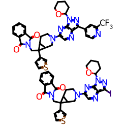 O=C1c2ccccc2C(=O)N1CC1(c2ccsc2)C2CCN(c3cnc4c(-c5ccnc(C(F)(F)F)c5)nn(C5CCCCO5)c4n3)CC21.O=C1c2ccccc2C(=O)N1CC1(c2ccsc2)C2CCN(c3cnc4c(I)nn(C5CCCCO5)c4n3)CC21